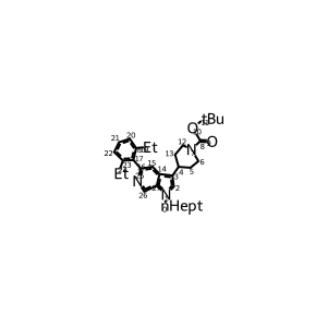 CCCCCCCn1cc(C2CCN(C(=O)OC(C)(C)C)CC2)c2cc(-c3c(CC)cccc3CC)ncc21